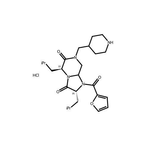 CC(C)C[C@@H]1C(=O)N2C(CN(CC3CCNCC3)C(=O)[C@@H]2CC(C)C)N1C(=O)c1ccco1.Cl